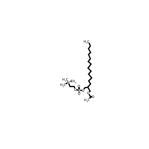 CCCCCCCCCCCCCCC(COC(C)=O)COP(=O)([O-])OCC[N+](C)(C)C